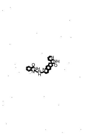 O=C1Nc2ncccc2C12Cc1cc3ccc(CNCc4nc5ccccc5c(=O)[nH]4)nc3cc1C2